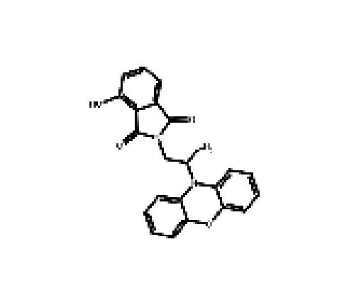 CC(CN1C(=O)c2cccc(O)c2C1=O)N1c2ccccc2Oc2ccccc21